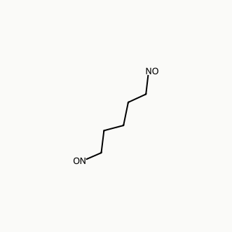 O=NCCCCCN=O